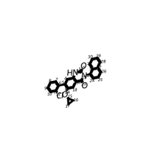 O=c1[nH]c2cc(-c3ccccc3Cl)c(OC3CC3)cc2c(=O)n1-c1cccc2ccccc12